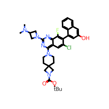 CN(C)C1CN(c2nc(N3CCC4(CC3)CN(C(=O)OC(C)(C)C)C4)c3cc(Cl)c(-c4cc(O)cc5ccccc45)c(F)c3n2)C1